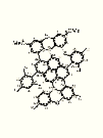 COc1ccc2c(c1)Oc1cc(OC)cc3c1B2c1cc2c(-c4c(C)cc(C)cc4C)cc4c5c(cc6c(-c7c(C)cc(C)cc7C)cc-3c1c6c25)B1c2ccc(C)cc2Oc2cc(C)cc-4c21